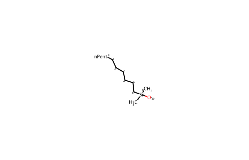 CCCCCCCCCCC[Si](C)(C)[O]